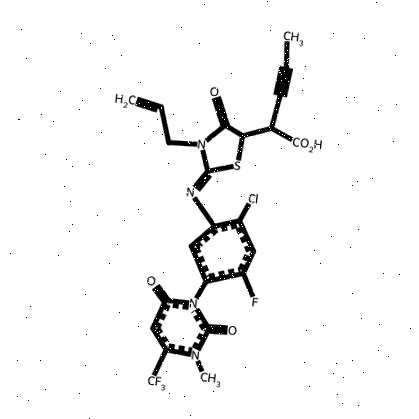 C=CCN1C(=O)C(C(C#CC)C(=O)O)SC1=Nc1cc(-n2c(=O)cc(C(F)(F)F)n(C)c2=O)c(F)cc1Cl